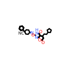 N#CC1(c2ccccc2)CCC(=NOc2nc3oc(=O)cc(CCC4CCCC4)c3c(=O)[nH]2)CC1